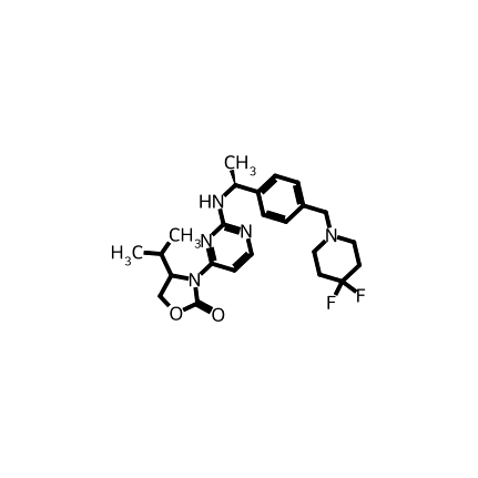 CC(C)C1COC(=O)N1c1ccnc(N[C@@H](C)c2ccc(CN3CCC(F)(F)CC3)cc2)n1